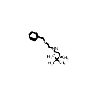 CN(CCNCCSCc1c#cccc1)C(C)(C)C